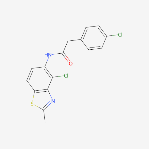 Cc1nc2c(Cl)c(NC(=O)Cc3ccc(Cl)cc3)ccc2s1